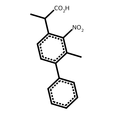 Cc1c(-c2ccccc2)ccc(C(C)C(=O)O)c1[N+](=O)[O-]